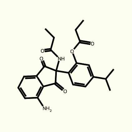 CCC(=O)NC1(c2ccc(C(C)C)cc2OC(=O)CC)C(=O)c2cccc(N)c2C1=O